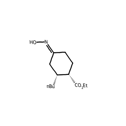 CCCC[C@@H]1C/C(=N\O)CC[C@@H]1C(=O)OCC